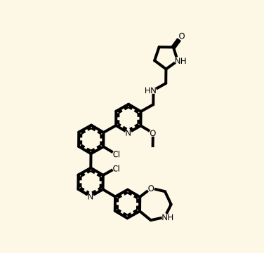 COc1nc(-c2cccc(-c3ccnc(-c4ccc5c(c4)OCCNC5)c3Cl)c2Cl)ccc1CNCC1CCC(=O)N1